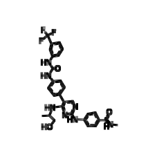 CN=[SH](=O)c1ccc(Nc2ncc(-c3ccc(NC(=O)Nc4cccc(C(F)(F)F)c4)cc3)c(NC(C)CO)n2)cc1